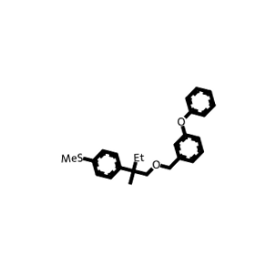 CCC(C)(COCc1cccc(Oc2ccccc2)c1)c1ccc(SC)cc1